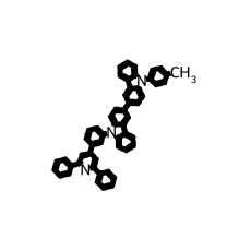 Cc1ccc(-n2c3ccccc3c3cc(-c4ccc5c(c4)c4ccccc4n5-c4cccc(-c5cc(-c6ccccc6)nc(-c6ccccc6)c5)c4)ccc32)cc1